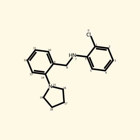 Clc1ccccc1NCc1ccccc1N1CCCC1